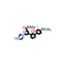 CNC(=O)c1cc(-c2cccc(-c3ccc(NC(C)=O)c(F)c3)c2O)cc(N2CCNCC2)n1